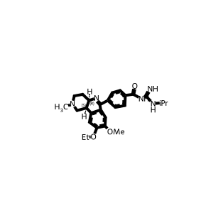 CCOc1cc2c(cc1OC)C(c1ccc(C(=O)NC(=N)NC(C)C)cc1)=N[C@@H]1CCN(C)C[C@H]21